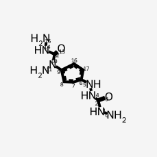 NNC(=O)NNc1ccc(N(N)C(=O)NN)cc1